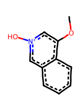 COc1c[n+](O)cc2ccccc12